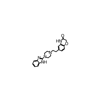 O=C1COc2ccc(CCN3CCN(c4nc5ccccc5[nH]4)CC3)cc2N1